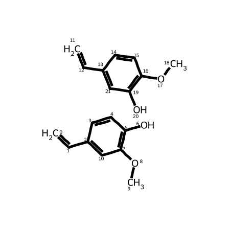 C=Cc1ccc(O)c(OC)c1.C=Cc1ccc(OC)c(O)c1